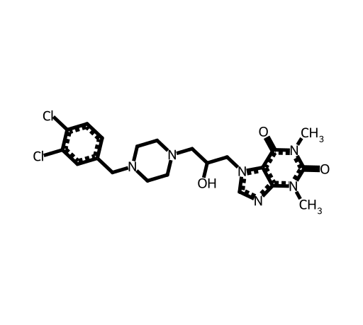 Cn1c(=O)c2c(ncn2CC(O)CN2CCN(Cc3ccc(Cl)c(Cl)c3)CC2)n(C)c1=O